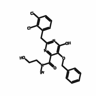 CC(C)N(CCO)C(=O)c1nc(Cc2cccc(Cl)c2Cl)nc(O)c1OCc1ccccc1